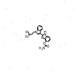 CCN(CC)CCn1cc(-c2nc3c(OC(N)=O)cccc3[nH]2)c2ccccc21